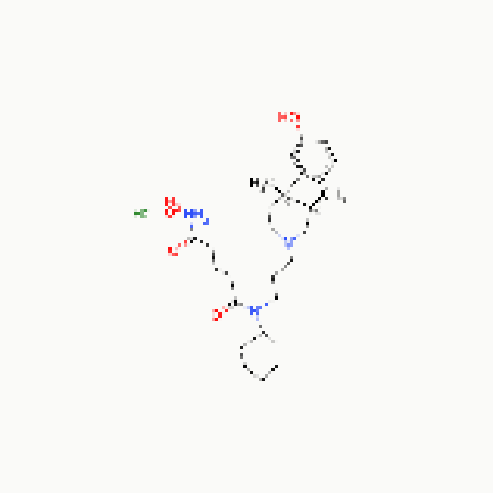 C[C@H]1CN(CCCN(C(=O)CCCC(N)=O)C2CCCCC2)CC[C@]1(C)c1cccc(O)c1.Cl.O